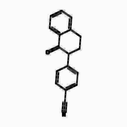 N#Cc1ccc(C2CCc3ccccc3C2=O)cc1